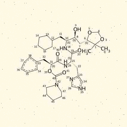 CC1(C)OCO[C@H]1C[C@H](O)[C@H](CC1CCCCC1)NC(=O)[C@H](Cc1c[nH]cn1)NC(=O)[C@H](Cc1ccccc1)OC(=O)N1CCCCC1